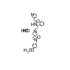 COc1ccc(CN2CCC3(CCN(CCC(NC(=O)Cc4cccnc4)c4ccccc4)CC3)C2=O)cc1.Cl.Cl